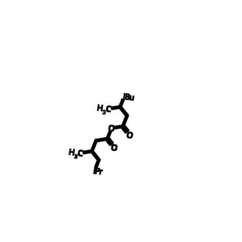 CCC(C)C(C)CC(=O)OC(=O)CC(C)CC(C)C